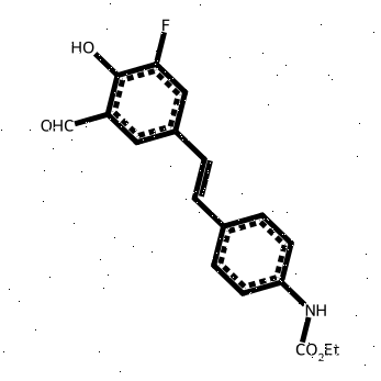 CCOC(=O)Nc1ccc(/C=C/c2cc(F)c(O)c(C=O)c2)cc1